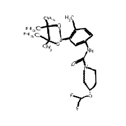 Cc1ccc(NC(=O)N2CC[C@H](OC(F)F)C2)cc1B1OC(C)(C)C(C)(C)O1